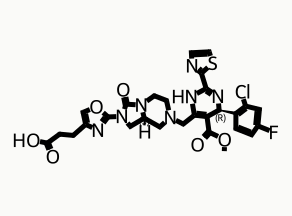 COC(=O)C1=C(CN2CCN3C(=O)N(c4nc(CCC(=O)O)co4)C[C@@H]3C2)NC(c2nccs2)=N[C@H]1c1ccc(F)cc1Cl